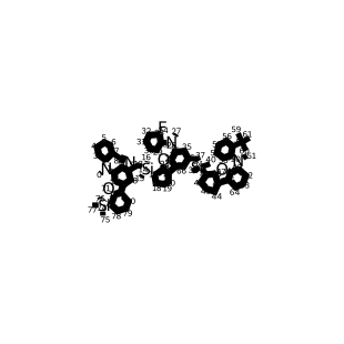 CN(c1ccccc1C#N)c1cc(C[Si](C)(C)c2cccc3c2oc2c(N(C)c4ccccc4F)cc(C[Si](C)(C)c4cccc5c4oc4c(N(C)c6ccccc6C(C)(C)C)cccc45)cc23)cc2c1oc1c([Si](C)(C)C)cccc12